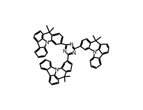 CC1(C)c2ccc(-c3nc(-c4ccc5c(c4)-n4c6ccccc6c6cccc(c64)C5(C)C)nc(-c4ccc5c(c4)-n4c6ccccc6c6cccc(c64)C5(C)C)n3)cc2-n2c3ccccc3c3cccc1c32